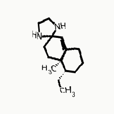 CC[C@H]1CCCC2=CC3(CC[C@@]21C)NCCN3